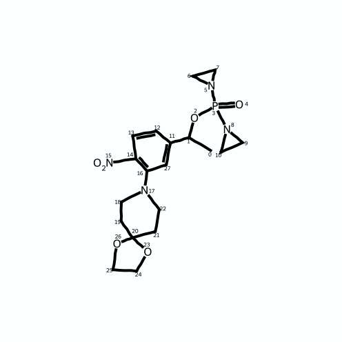 CC(OP(=O)(N1CC1)N1CC1)c1ccc([N+](=O)[O-])c(N2CCC3(CC2)OCCO3)c1